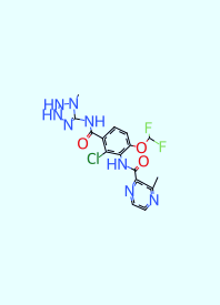 Cc1nccnc1C(=O)Nc1c(OC(F)F)ccc(C(=O)NC2=NNNN2C)c1Cl